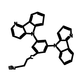 CC(C)(C)CCCc1cc(-n2c3ccccc3c3ncccc32)cc(-n2c3ccccc3c3ncccc32)c1